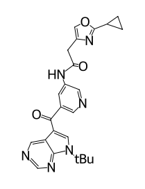 CC(C)(C)n1cc(C(=O)c2cncc(NC(=O)Cc3coc(C4CC4)n3)c2)c2cncnc21